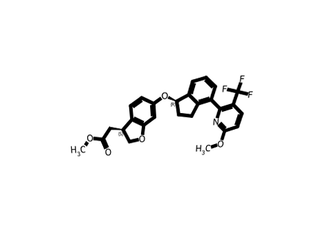 COC(=O)C[C@@H]1COc2cc(O[C@@H]3CCc4c(-c5nc(OC)ccc5C(F)(F)F)cccc43)ccc21